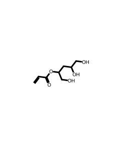 C=CC(=O)OC(CO)CC(O)CO